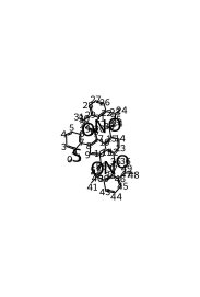 CSc1ccccc1-c1cc2c3c(ccc4c3c1C(=O)N(c1c(C(C)C)cccc1C(C)C)C4=O)C(=O)N(c1c(C(C)C)cccc1C(C)C)C2=O